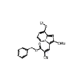 CCOc1cccn2c(/C=C(/C#N)C(=O)OCc3ccccc3)c(OCC(C)C)nc12